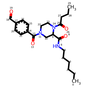 CCCCCCNC(=O)C1CN(C(=O)c2ccc(C=O)cc2)CCN1C(=O)CCC